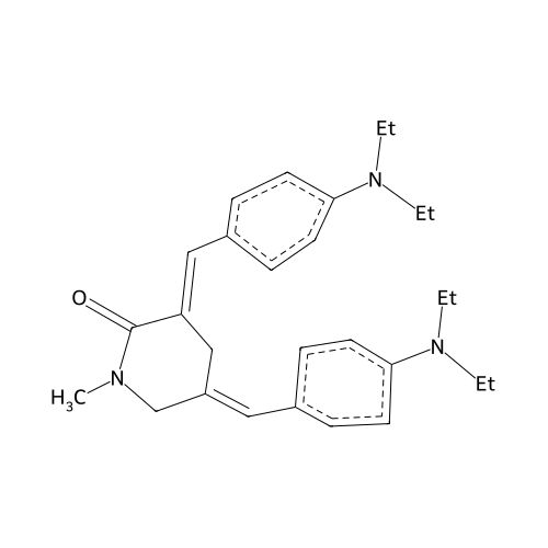 CCN(CC)c1ccc(C=C2CC(=Cc3ccc(N(CC)CC)cc3)C(=O)N(C)C2)cc1